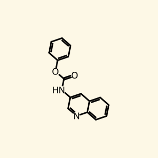 O=C(Nc1cnc2ccccc2c1)Oc1ccccc1